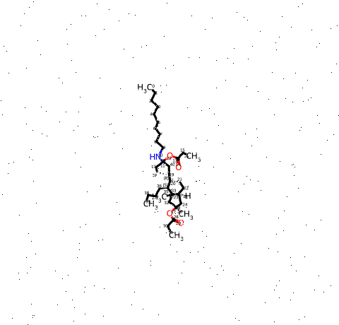 CCCCCCCCCCN[C@]1(OC(=O)CC)CC[C@@H]([C@@H]2CC[C@H]3C[C@@](C)(OC(=O)CC)C[C@]3(C)[C@H]2CCCC)C1